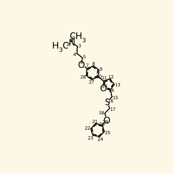 CN(C)CCCOc1ccc(-c2ccc(CSCCOc3ccccc3)o2)cc1